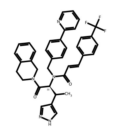 CC(c1cn[nH]c1)[C@@H](C(=O)N1CCc2ccccc2C1)N(Cc1ccc(-c2ccccn2)cc1)C(=O)C=Cc1ccc(C(F)(F)F)cc1